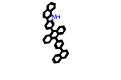 C1=Cc2c(c(-c3ccc(-c4cccc5ccccc45)cc3)c3ccccc3c2-c2ccc3c(c2)[nH]c2c4ccccc4ccc32)CC1